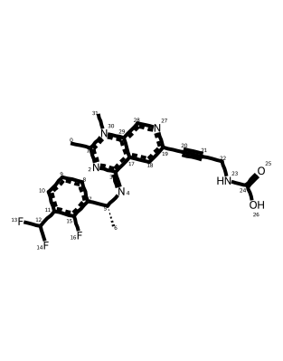 Cc1n/c(=N\[C@H](C)c2cccc(C(F)F)c2F)c2cc(C#CCNC(=O)O)ncc2n1C